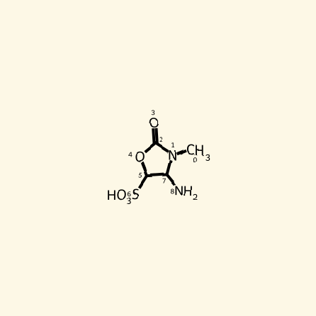 CN1C(=O)OC(S(=O)(=O)O)C1N